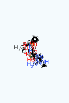 CC(C)OC(=O)[C@@H](C)N[P@](=O)(OCC1O[C@@H](n2cnc3c(NC4CC4)nc(N)nc32)[C@@](F)(CO)[C@@H]1O)Oc1ccccc1